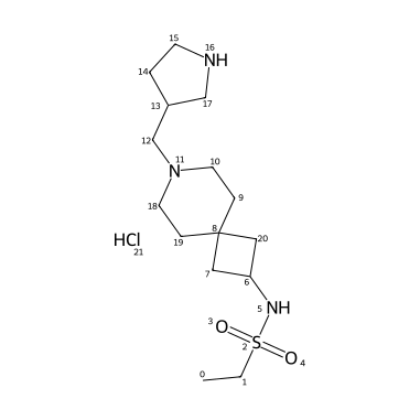 CCS(=O)(=O)NC1CC2(CCN(CC3CCNC3)CC2)C1.Cl